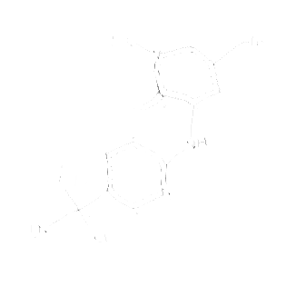 Cn1cc(Br)cc(Nc2ccc(C(C)(C)N)cn2)c1=O